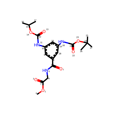 COC(=O)CNC(=O)c1cc(NC(=O)OC(C)C)cc(NC(=O)OC(C)(C)C)c1